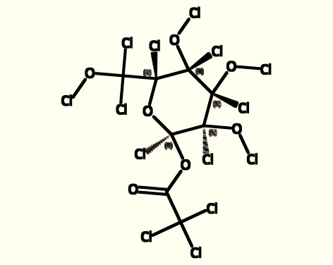 O=C(O[C@@]1(Cl)O[C@](Cl)(C(Cl)(Cl)OCl)[C@](Cl)(OCl)[C@](Cl)(OCl)[C@@]1(Cl)OCl)C(Cl)(Cl)Cl